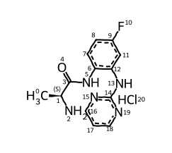 C[C@H](N)C(=O)Nc1ccc(F)cc1Nc1ncccn1.Cl